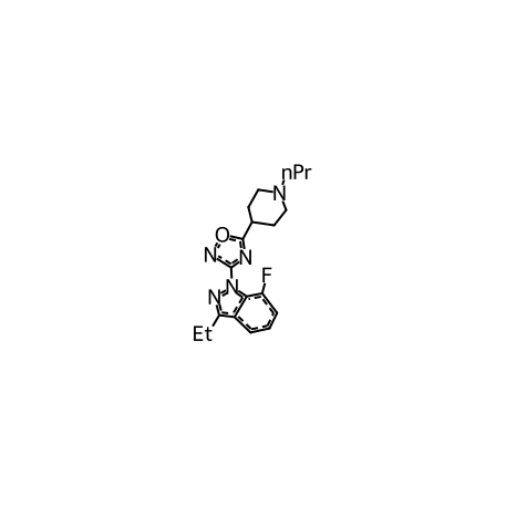 CCCN1CCC(c2nc(-n3nc(CC)c4cccc(F)c43)no2)CC1